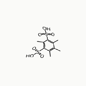 Cc1c(C)c(S(=O)(=O)O)c(C)c(S(=O)(=O)O)c1C